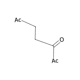 CC(=O)CCC(=O)C(C)=O